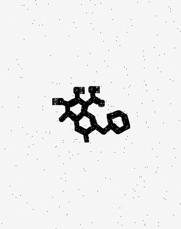 Cc1cc2c(C)c(O)c(O)c(C(=O)O)c2cc1Cc1ccccc1